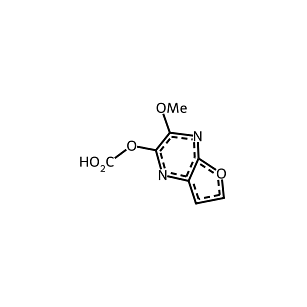 COc1nc2occc2nc1OC(=O)O